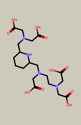 O=C(O)CN(CCN(CC(=O)O)CC1CCCC(CN(CC(=O)O)CC(=O)O)N1)CC(=O)O